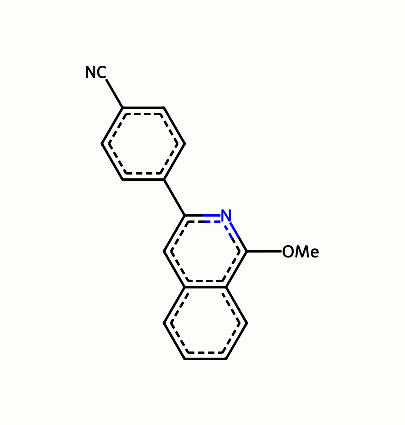 COc1nc(-c2ccc(C#N)cc2)cc2ccccc12